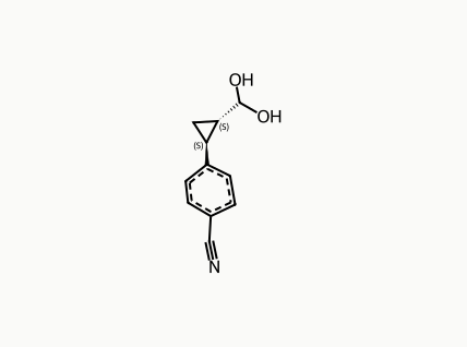 N#Cc1ccc([C@H]2C[C@@H]2C(O)O)cc1